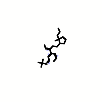 C\C=C/C(=C\C=N/C(C)(C)C)C(=C/C)/CCC1CCCC1(C)CCC